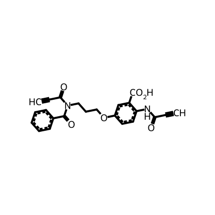 C#CC(=O)Nc1ccc(OCCCN(C(=O)C#C)C(=O)c2ccccc2)cc1C(=O)O